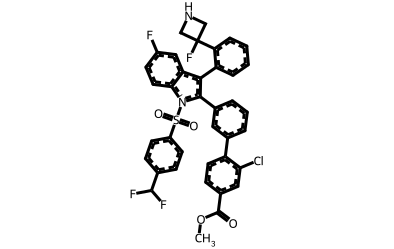 COC(=O)c1ccc(-c2cccc(-c3c(-c4ccccc4C4(F)CNC4)c4cc(F)ccc4n3S(=O)(=O)c3ccc(C(F)F)cc3)c2)c(Cl)c1